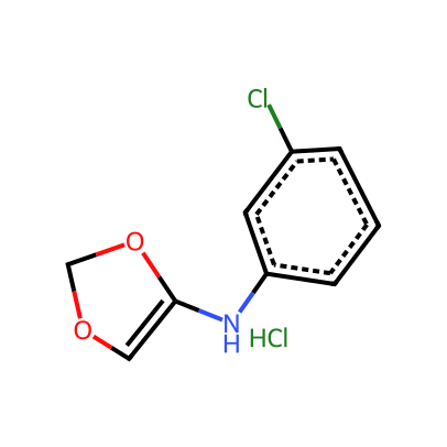 Cl.Clc1cccc(NC2=COCO2)c1